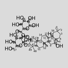 CC1(C)CC[C@]2(C)[C@H](O)C[C@]3(C)C(=CCC4[C@@]5(C)C[C@@H](O)C(O[C@@]6(O)O[C@H](CO)[C@@H](O)[C@H](O)[C@H]6OC(=O)[C@H]6O[C@@H](O)[C@H](O)[C@@H](O)[C@@H]6O)C(C)(C)C5CC[C@]43C)[C@H]2C1